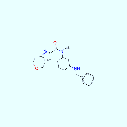 CCN(C(=O)c1cc2c([nH]1)CCOC2)C1CCCC(NCc2ccccc2)C1